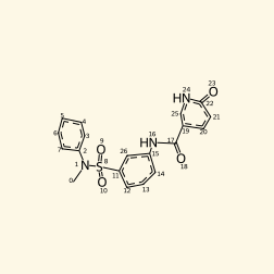 CN(c1ccccc1)S(=O)(=O)c1cccc(NC(=O)c2ccc(=O)[nH]c2)c1